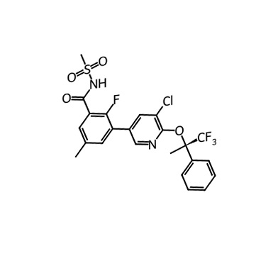 Cc1cc(C(=O)NS(C)(=O)=O)c(F)c(-c2cnc(O[C@@](C)(c3ccccc3)C(F)(F)F)c(Cl)c2)c1